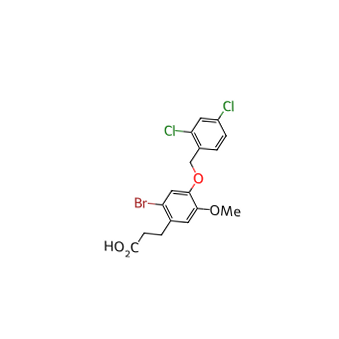 COc1cc(CCC(=O)O)c(Br)cc1OCc1ccc(Cl)cc1Cl